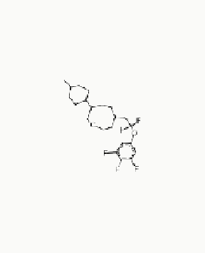 CC1CCC(C2CCCCC(CC(F)(F)Oc3cc(F)c(F)c(F)c3)CC2)CC1